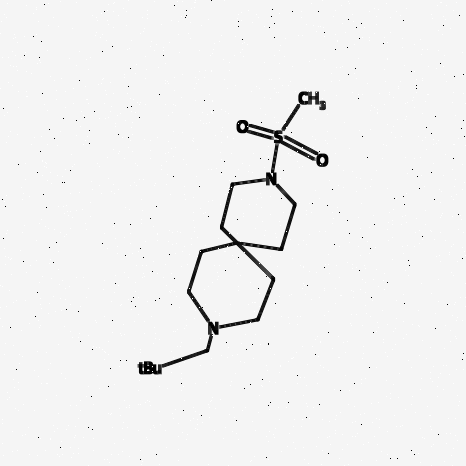 CC(C)(C)CN1CCC2(CC1)CCN(S(C)(=O)=O)CC2